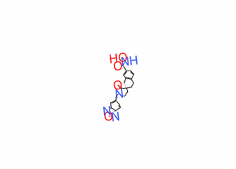 O=C(NO)c1ccc2c(c1)C[C@]1(CC2)CCN(Cc2ccc3nonc3c2)C1=O